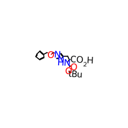 CC(C)(C)OC(=O)N[C@@H](Cc1cn(COCc2ccccc2)cn1)C(=O)O